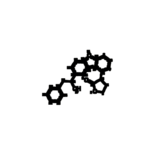 O=C1OCCC1c1cccc2oc3ccc(C(O)Cc4ccccc4)cc3c12